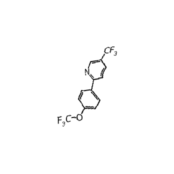 FC(F)(F)Oc1ccc(-c2ccc(C(F)(F)F)cn2)cc1